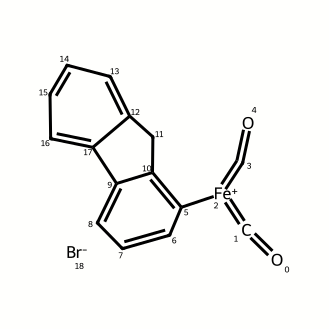 O=[C]=[Fe+](=[C]=O)[c]1cccc2c1Cc1ccccc1-2.[Br-]